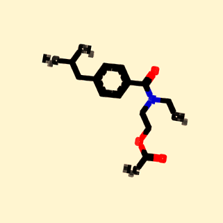 CCN(CCOC(C)=O)C(=O)c1ccc(CC(C)C)cc1